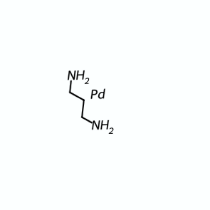 NCCCN.[Pd]